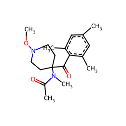 CON1CCC(C(=O)c2c(C)cc(C)cc2C)(N(C)C(C)=O)CC1